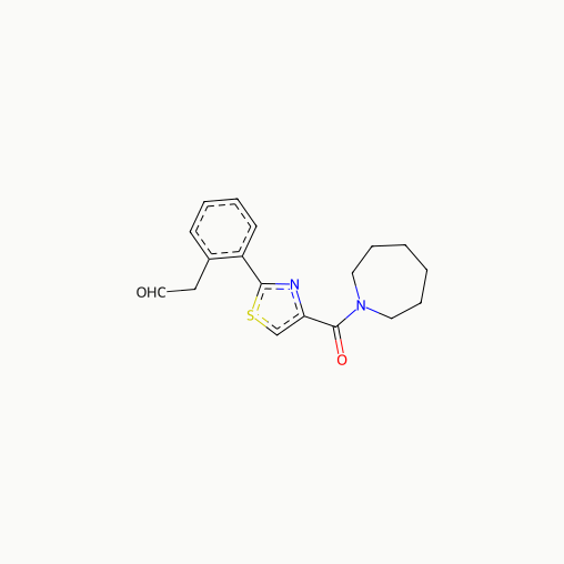 O=CCc1ccccc1-c1nc(C(=O)N2CCCCCC2)cs1